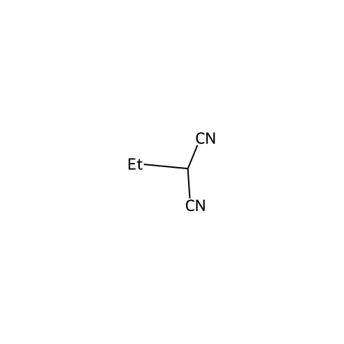 CCC(C#N)C#N